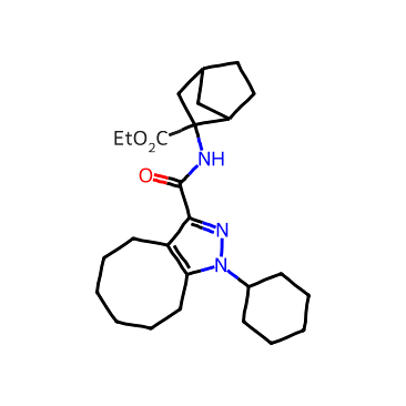 CCOC(=O)C1(NC(=O)c2nn(C3CCCCC3)c3c2CCCCCC3)CC2CCC1C2